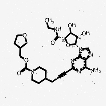 CCNC(=O)[C@H]1O[C@@H](n2cnc3c(N)nc(C#CCC4CCN(C(=O)OCC5CCOC5)CC4)nc32)[C@@H](O)C1O